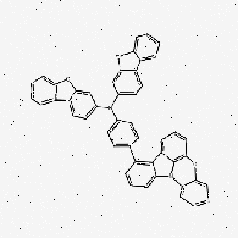 c1ccc2c(c1)Oc1cccc3c4c(-c5ccc(N(c6ccc7c(c6)oc6ccccc67)c6ccc7c(c6)oc6ccccc67)cc5)cccc4n-2c13